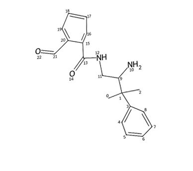 CC(C)(c1ccccc1)C(N)CNC(=O)c1ccccc1C=O